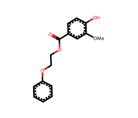 COc1cc(C(=O)OCCOc2ccccc2)ccc1O